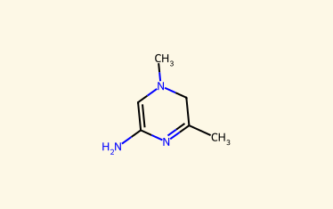 CC1=NC(N)=CN(C)C1